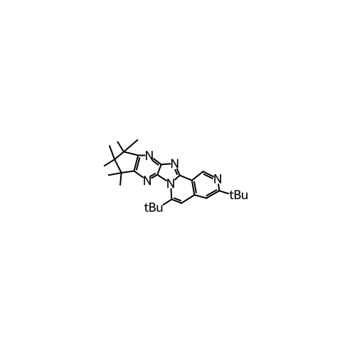 CC(C)(C)c1cc2cc(C(C)(C)C)n3c4nc5c(nc4nc3c2cn1)C(C)(C)C(C)(C)C5(C)C